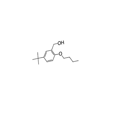 CCCCOc1ccc(C(C)(C)C)cc1CO